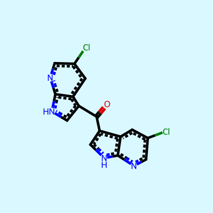 O=C(c1c[nH]c2ncc(Cl)cc12)c1c[nH]c2ncc(Cl)cc12